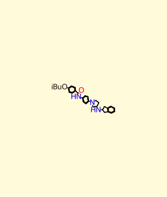 CC(C)COc1ccc(C(=O)Nc2ccc(N3CCC(NC4Cc5ccccc5C4)C3)cc2)cc1